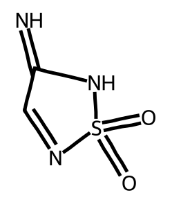 N=C1C=NS(=O)(=O)N1